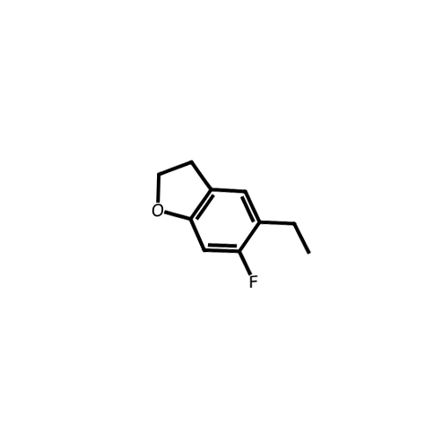 CCc1cc2c(cc1F)OCC2